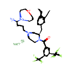 Cc1ccc(C[C@@H]2CN(C/C=C/C(N)N3CCOCC3)CCN2C(=O)c2cc(C(F)(F)F)cc(C(F)(F)F)c2)cc1C.Cl.Cl